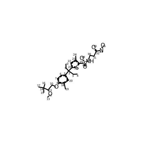 CCC(CC)(c1ccc(OCC(OC)C(C)(C)C)c(C)c1)c1cc(C)c(S(=O)(=O)NCCC(=O)N=O)s1